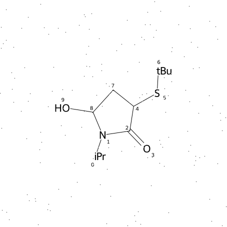 CC(C)N1C(=O)C(SC(C)(C)C)CC1O